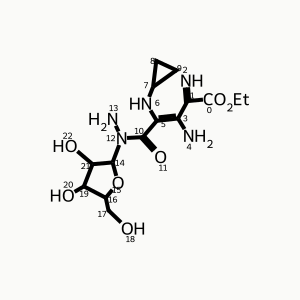 CCOC(=O)C(=N)/C(N)=C(\NC1CC1)C(=O)N(N)C1OC(CO)C(O)C1O